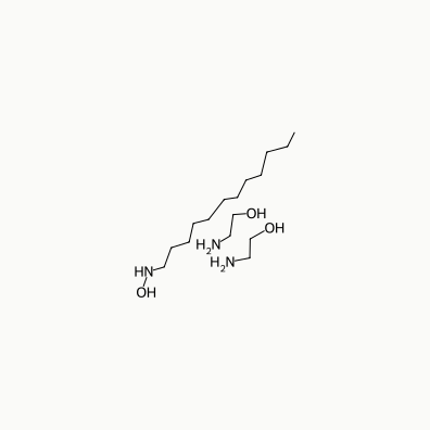 CCCCCCCCCCCCNO.NCCO.NCCO